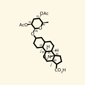 CC(=O)O[C@H]1C[C@H](OC(C)=O)[C@@H](C)O[C@H]1OC1CC[C@@]2(C)C(CC[C@@H]3[C@H]2CC[C@]2(C)C(C(=O)O)CC[C@@]32N)C1